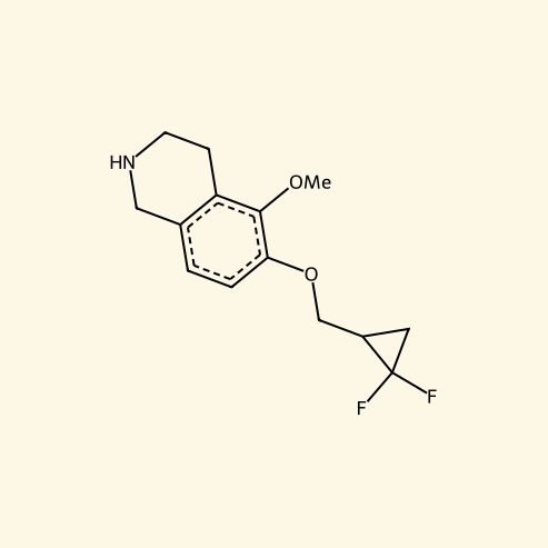 COc1c(OCC2CC2(F)F)ccc2c1CCNC2